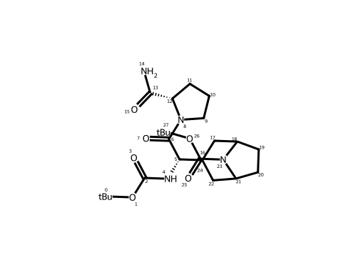 CC(C)(C)OC(=O)N[C@H](C(=O)N1CCC[C@H]1C(N)=O)C1CC2CCC(C1)N2C(=O)OC(C)(C)C